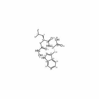 CC(C)C[C@H](CC(=O)NO)C(=O)N[C@@H](Cc1c[nH]c2ccccc12)C(=O)O